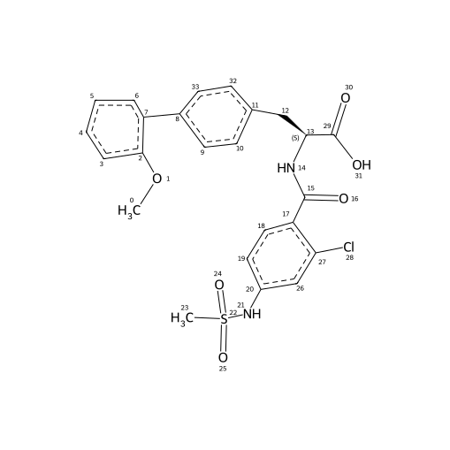 COc1ccccc1-c1ccc(C[C@H](NC(=O)c2ccc(NS(C)(=O)=O)cc2Cl)C(=O)O)cc1